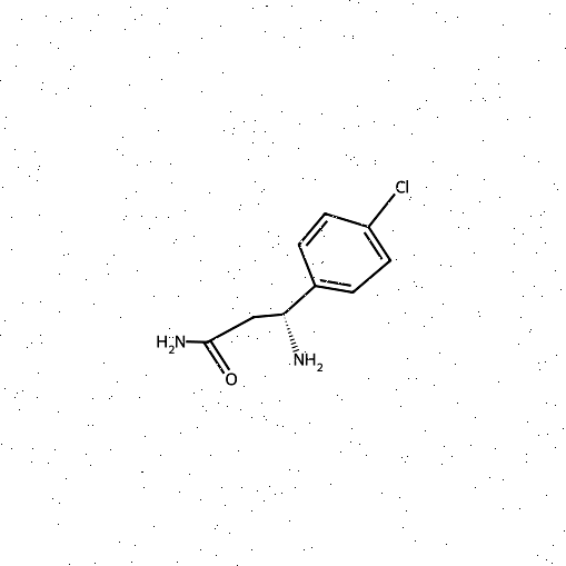 NC(=O)C[C@@H](N)c1ccc(Cl)cc1